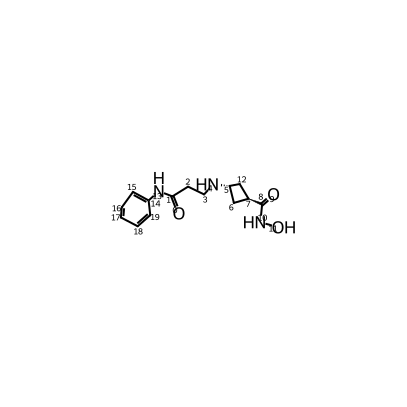 O=C(CCN[C@H]1C[C@H](C(=O)NO)C1)Nc1ccccc1